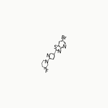 F[C@@H]1CCCN(c2ccc(-c3nc4ncc(Br)cc4s3)cn2)C1